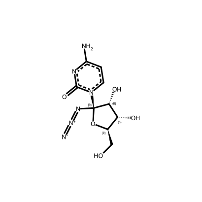 [N-]=[N+]=N[C@@]1(n2ccc(N)nc2=O)O[C@H](CO)[C@@H](O)[C@H]1O